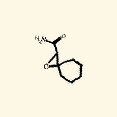 NC(=O)C1OC12CCCCC2